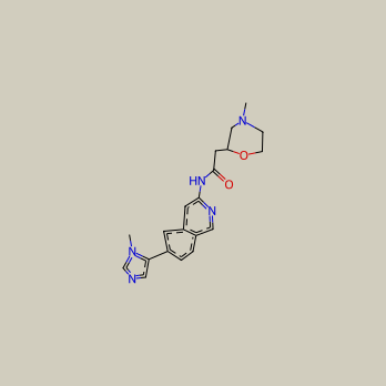 CN1CCOC(CC(=O)Nc2cc3cc(-c4cncn4C)ccc3cn2)C1